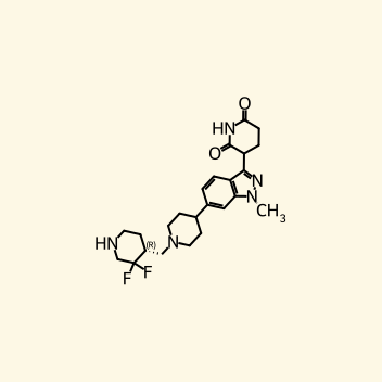 Cn1nc(C2CCC(=O)NC2=O)c2ccc(C3CCN(C[C@H]4CCNCC4(F)F)CC3)cc21